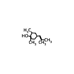 CC(C)=CC1CC(C)=C(O)C(C)C1